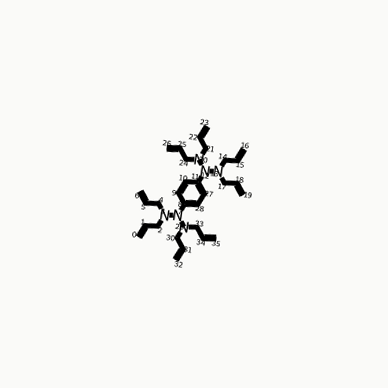 C=CCN(CC=C)N(c1ccc(N(N(CC=C)CC=C)N(CC=C)CC=C)cc1)N(CC=C)CC=C